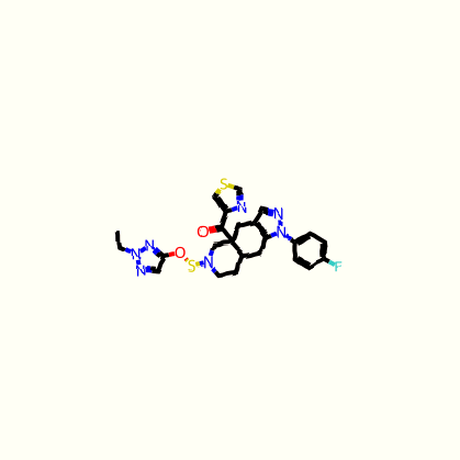 CCn1ncc(OSN2CCC3Cc4c(cnn4-c4ccc(F)cc4)CC3(C(=O)c3cscn3)C2)n1